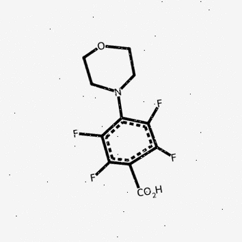 O=C(O)c1c(F)c(F)c(N2CCOCC2)c(F)c1F